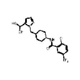 O=C(NC1CCC(Cn2nccc2C(O)O)CC1)c1cc(C(F)(F)F)ccc1Cl